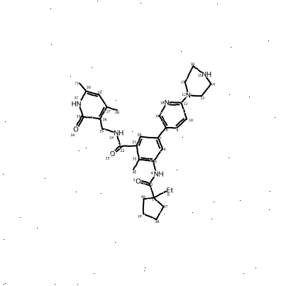 CCC1(C(=O)Nc2cc(-c3ccc(N4CCNCC4)nc3)cc(C(=O)NCc3c(C)cc(C)[nH]c3=O)c2C)CCCC1